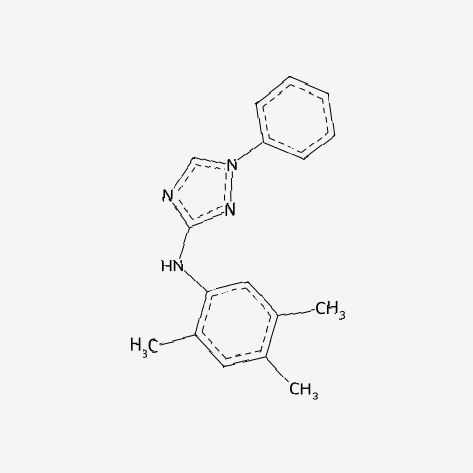 Cc1cc(C)c(Nc2ncn(-c3ccccc3)n2)cc1C